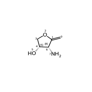 C=C1OC[C@@H](O)[C@H]1N